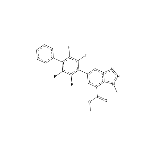 COC(=O)c1cc(-c2c(F)c(F)c(-c3ccccc3)c(F)c2F)cc2nnn(C)c12